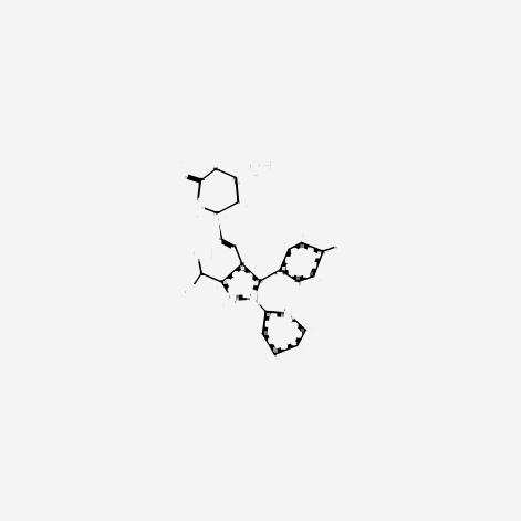 CC(C)c1nn(-c2ccccn2)c(-c2ccc(F)cc2)c1C=C[C@@H]1C[C@@H](O)CC(=O)O1